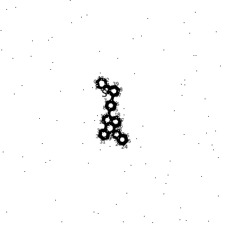 C1=Cc2sc3c(-c4ccc(-c5ccc6c7c(cccc57)C5(Cc7ccccc7C5)c5ccccc5-6)cc4)cccc3c2CC1